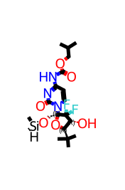 CC(C)COC(=O)Nc1ccn([C@]2(CO[SiH](C)C)O[C@H](C(C)(C)C)[C@@H](O)C2(F)F)c(=O)n1